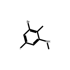 CNc1cc(I)cc(Br)c1C